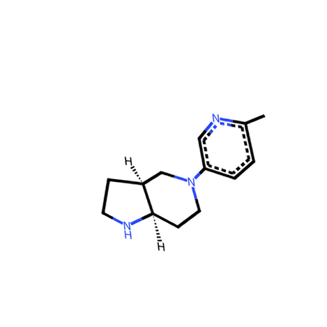 Cc1ccc(N2CC[C@H]3NCC[C@H]3C2)cn1